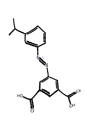 CC(C)c1cccc(/N=N/c2cc(C(=O)O)cc(C(=O)O)c2)c1